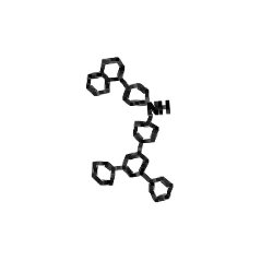 c1ccc(-c2cc(-c3ccccc3)cc(-c3ccc(Nc4ccc(-c5cccc6ccccc56)cc4)cc3)c2)cc1